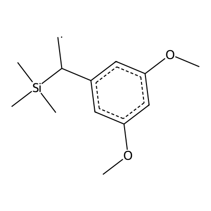 [CH2]C(c1cc(OC)cc(OC)c1)[Si](C)(C)C